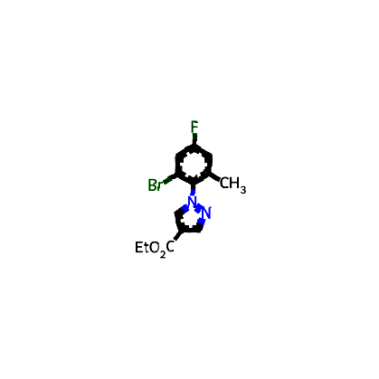 CCOC(=O)c1cnn(-c2c(C)cc(F)cc2Br)c1